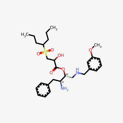 CCCC(CCC)S(=O)(=O)CC(O)C(=O)O[C@H](CNCc1cccc(OC)c1)[C@@H](N)Cc1ccccc1